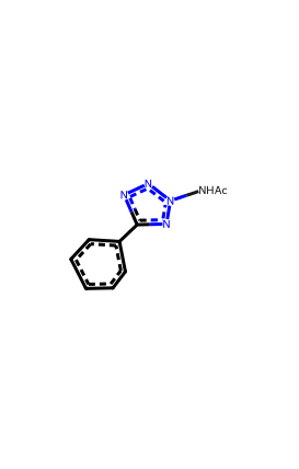 CC(=O)Nn1nnc(-c2ccccc2)n1